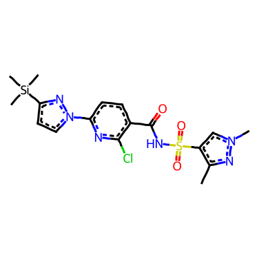 Cc1nn(C)cc1S(=O)(=O)NC(=O)c1ccc(-n2ccc([Si](C)(C)C)n2)nc1Cl